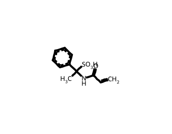 C=CC(=O)NC(C)(c1ccccc1)S(=O)(=O)O